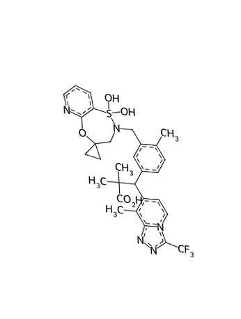 Cc1ccc(C(c2ccn3c(C(F)(F)F)nnc3c2C)C(C)(C)C(=O)O)cc1CN1CC2(CC2)Oc2ncccc2S1(O)O